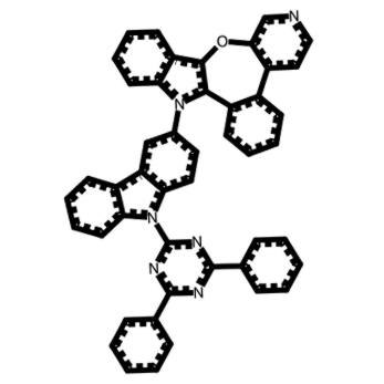 c1ccc(-c2nc(-c3ccccc3)nc(-n3c4ccccc4c4cc(-n5c6c(c7ccccc75)Oc5cnccc5-c5ccccc5-6)ccc43)n2)cc1